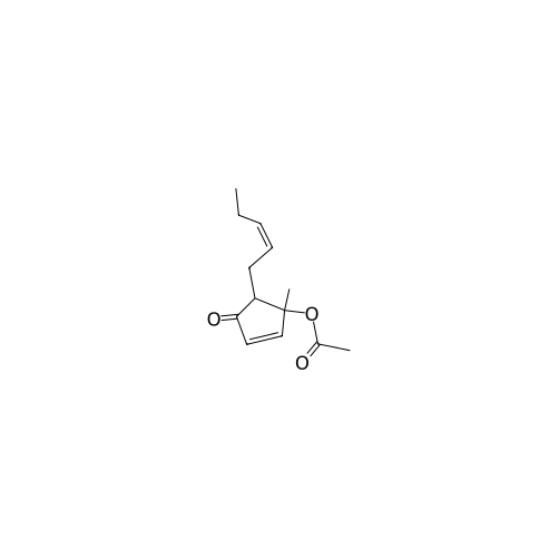 CC/C=C\CC1C(=O)C=CC1(C)OC(C)=O